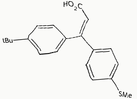 CSc1ccc(/C(=C/C(=O)O)c2ccc(C(C)(C)C)cc2)cc1